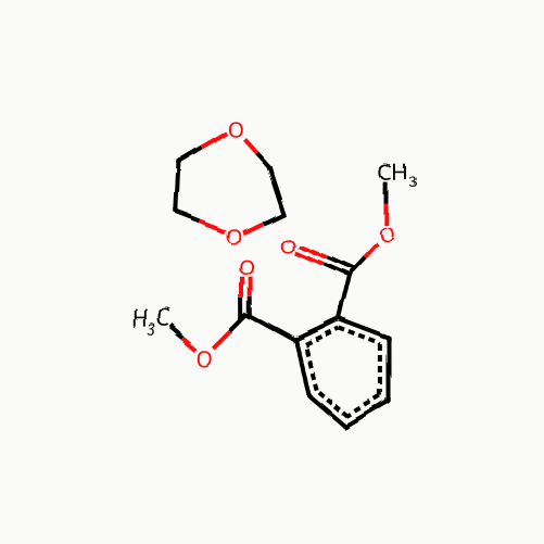 C1COCCO1.COC(=O)c1ccccc1C(=O)OC